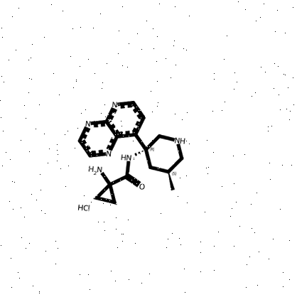 C[C@@H]1CNC[C@](NC(=O)C2(N)CC2)(c2ccnc3nccnc23)C1.Cl